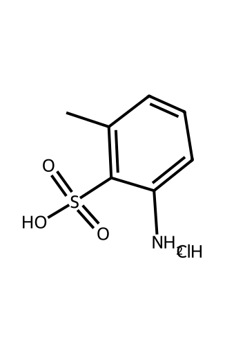 Cc1cccc(N)c1S(=O)(=O)O.Cl